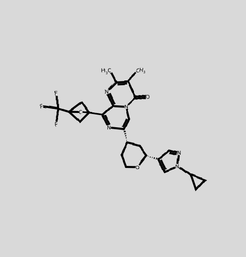 Cc1nc2c(C34CC(C(F)(F)F)(C3)C4)nc([C@H]3CCO[C@@H](c4cnn(C5CC5)c4)C3)cn2c(=O)c1C